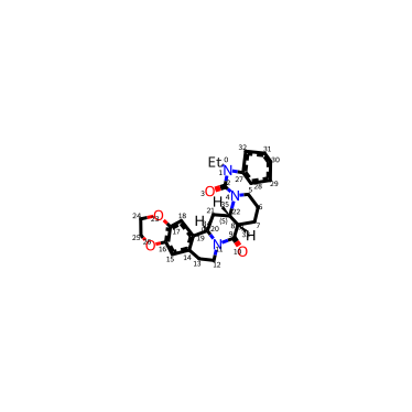 CCN(C(=O)N1CCC[C@@H]2C(=O)N3CCc4cc5c(cc4[C@H]3C[C@@H]21)OCCO5)c1ccccc1